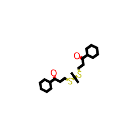 CC(C)(SCCC(=O)C1CCCCC1)SCCC(=O)C1CCCCC1